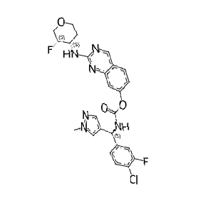 Cn1cc([C@@H](NC(=O)Oc2ccc3cnc(N[C@H]4CCOC[C@H]4F)nc3c2)c2ccc(Cl)c(F)c2)cn1